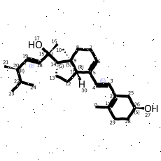 CC1=C(/C=C/C2=CCC[C@@]3(C)[C@H]2CC[C@@H]3[C@@](C)(O)/C=C/[C@H](C)C(C)C)C[C@@H](O)CC1